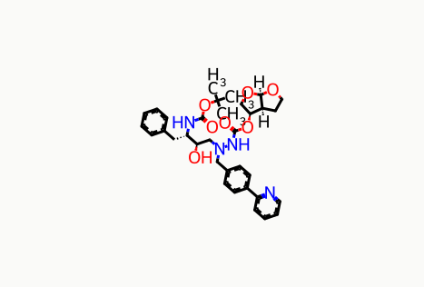 CC(C)(C)OC(=O)N[C@@H](Cc1ccccc1)[C@H](O)CN(Cc1ccc(-c2ccccn2)cc1)NC(=O)O[C@H]1CO[C@H]2OCC[C@H]21